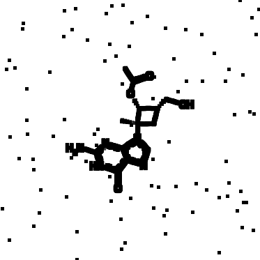 CC(=O)O[C@@H]1[C@H](CO)C[C@@]1(C)n1cnc2c(=O)[nH]c(N)nc21